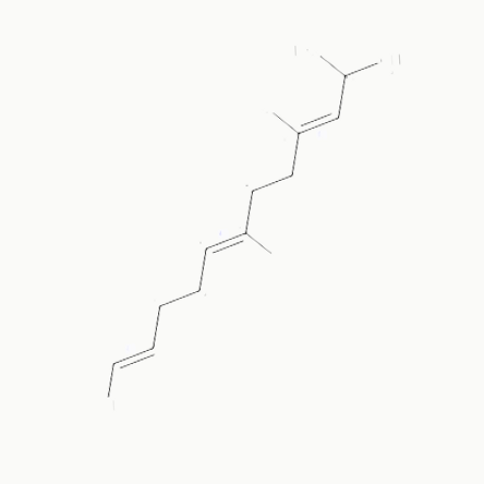 C/C=C/CC/C=C(\C)CC/C(C)=C/C(C)O